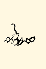 CC(=O)CCCCC[C@H](NC(=O)C1CCN(C)CC1)c1nc(-c2ccc3ccccc3c2)cn1C